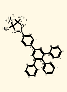 CC1(C)OB(c2ccc(-c3cc(-c4ccccc4)c(-c4ccccc4)c(-c4ccccc4)c3)cc2)OC1(C)C